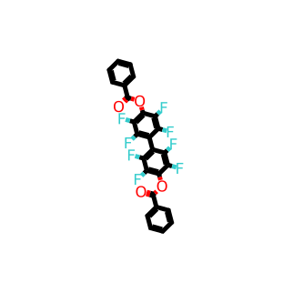 O=C(Oc1c(F)c(F)c(-c2c(F)c(F)c(OC(=O)c3ccccc3)c(F)c2F)c(F)c1F)c1ccccc1